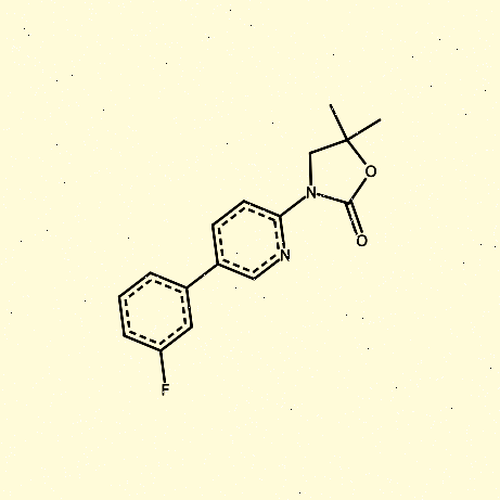 CC1(C)CN(c2ccc(-c3cccc(F)c3)cn2)C(=O)O1